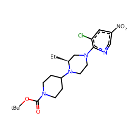 CC[C@H]1CN(c2ncc([N+](=O)[O-])cc2Cl)CCN1C1CCN(C(=O)OC(C)(C)C)CC1